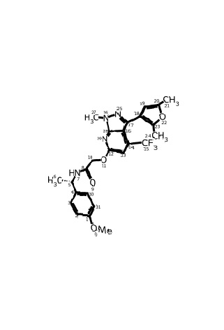 COc1ccc([C@H](C)NC(=O)COc2cc(C(F)(F)F)c3c(-c4cc(C)oc4C)nn(C)c3n2)cc1